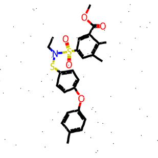 CCN(Sc1ccc(Oc2ccc(C)cc2)cc1)S(=O)(=O)c1cc(C)c(C)c(C(=O)OC)c1